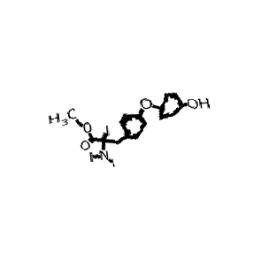 CCOC(=O)C(I)(Cc1ccc(Oc2ccc(O)cc2)cc1)N(I)I